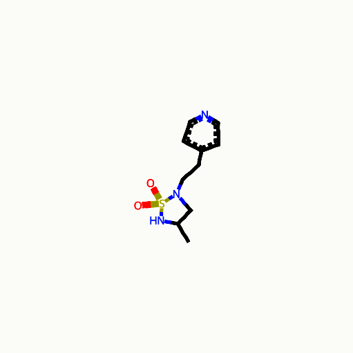 CC1CN(CCc2ccncc2)S(=O)(=O)N1